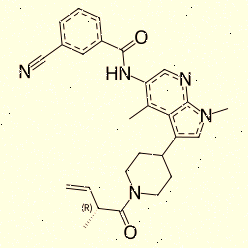 C=C[C@@H](C)C(=O)N1CCC(c2cn(C)c3ncc(NC(=O)c4cccc(C#N)c4)c(C)c23)CC1